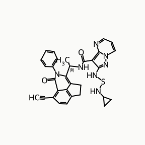 C#Cc1ccc2c3c(c([C@@H](C)NC(=O)c4c(NSNC5CC5)nn5cccnc45)n(-c4ccccc4)c(=O)c13)CC2